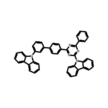 c1ccc(-c2nc(-c3ccc(-c4cccc(-n5c6ccccc6c6ccccc65)c4)cc3)nc(-n3c4ccccc4c4ccccc43)n2)cc1